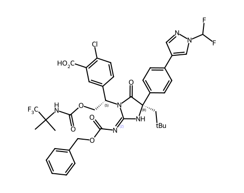 CC(C)(C)C[C@]1(c2ccc(-c3cnn(C(F)F)c3)cc2)N/C(=N/C(=O)OCc2ccccc2)N([C@H](COC(=O)NC(C)(C)C(F)(F)F)c2ccc(Cl)c(C(=O)O)c2)C1=O